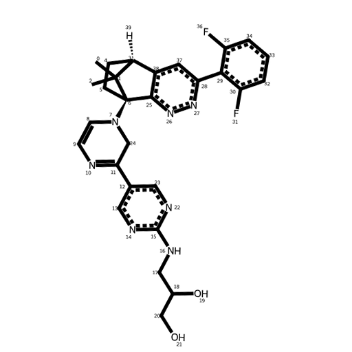 CC1(C)[C@H]2CC[C@@]1(N1C=CN=C(c3cnc(NCC(O)CO)nc3)C1)c1nnc(-c3c(F)cccc3F)cc12